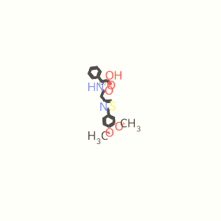 COc1ccc(-c2nc(CC(=O)N[C@H](C(=O)O)c3ccccc3)cs2)cc1OC